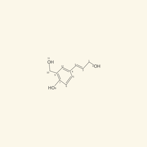 OCC=Cc1ccc(O)c(CO)c1